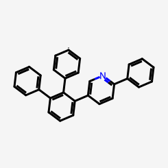 [c]1ccc(-c2c(-c3ccccc3)cccc2-c2ccc(-c3ccccc3)nc2)cc1